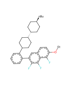 CCCC[C@H]1CC[C@H](C2CCC(c3ccccc3-c3cc4ccc(OCC)c(F)c4c(F)c3F)CC2)CC1